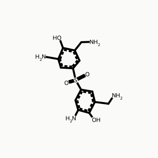 NCc1cc(S(=O)(=O)c2cc(N)c(O)c(CN)c2)cc(N)c1O